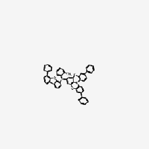 Cc1ccccc1N(c1cc2c3c(c1)Oc1cc(-c4ccccc4)ccc1B3c1ccc(-c3ccccc3)cc1O2)c1cccc2c1oc1c(-c3ccccc3)cccc12